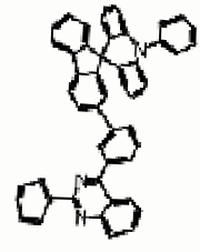 c1ccc(-c2nc(-c3cccc(-c4ccc5c(c4)C4(c6ccccc6-5)c5ccccc5N(c5ccccc5)c5ccccc54)c3)c3ccccc3n2)cc1